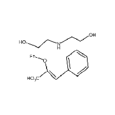 CCOC(=Cc1ccccc1)C(=O)O.OCCNCCO